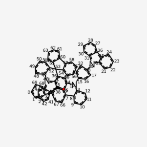 c1ccc(-c2ccc(-c3ccccc3N(c3ccc(-n4c5ccccc5c5ccccc54)cc3)c3cc4c5c(c3)c3ccccc3n5-c3ccccc3C43c4ccccc4-c4ccccc43)cc2)cc1